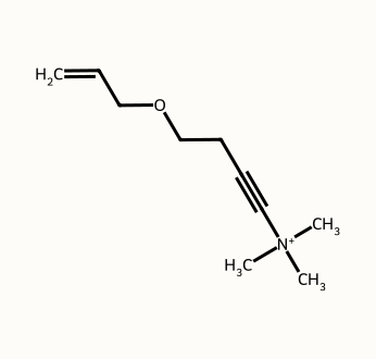 C=CCOCCC#C[N+](C)(C)C